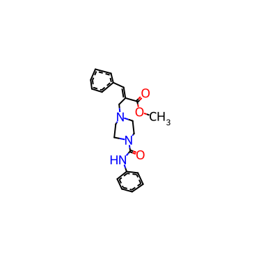 COC(=O)/C(=C/c1ccccc1)CN1CCN(C(=O)Nc2ccccc2)CC1